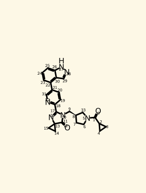 O=C(C1CC1)N1CC[C@@H](CN2C(=O)C3(CC3)N=C2c2ccc(-c3cccc4[nH]ncc34)cn2)C1